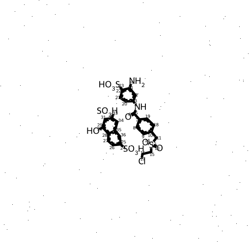 Nc1cc(NC(=O)c2ccc(CS(=O)(=O)CCCl)cc2)ccc1S(=O)(=O)O.O=S(=O)(O)c1ccc2c(O)cc(S(=O)(=O)O)cc2c1